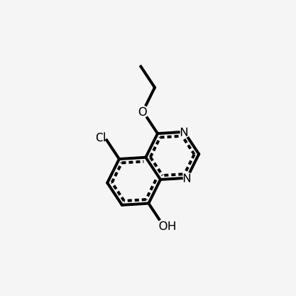 CCOc1ncnc2c(O)ccc(Cl)c12